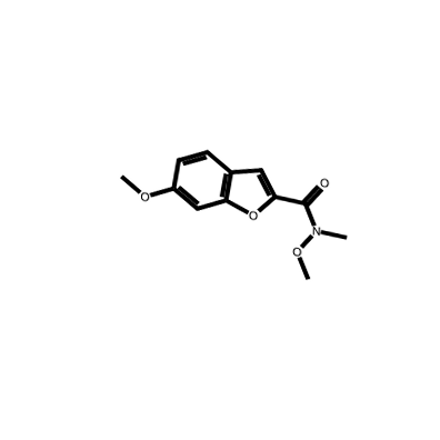 COc1ccc2cc(C(=O)N(C)OC)oc2c1